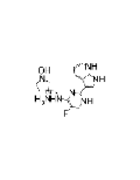 N[C@]1(CNC2=C(F)CNC(C3=CNC4NC=CC=C34)=N2)CCN(O)C1